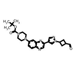 CC(C)(C)OC(=O)N1CCN(c2ccc3ncc(-c4cnn(C5CC(C=O)C5)c4)nc3c2)CC1